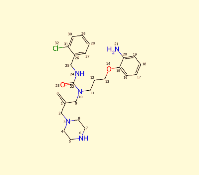 C=C(CN1CCNCC1)CN(CCCOc1ccccc1N)C(=O)NCc1ccccc1Cl